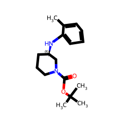 Cc1ccccc1N[C@@H]1CCCN(C(=O)OC(C)(C)C)C1